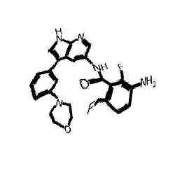 Nc1ccc(F)c(C(=O)Nc2cnc3[nH]cc(-c4cccc(N5CCOCC5)c4)c3c2)c1F